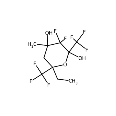 CCC1(C(F)(F)F)CC(C)(O)C(F)(F)C(O)(C(F)(F)F)O1